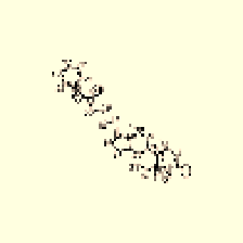 CN1C(=O)CC[C@]2(C)C3CC[C@@]4(C)C(CC[C@@H]4CCCCC(=O)Oc4ccccc4)C3CC[C@@H]12